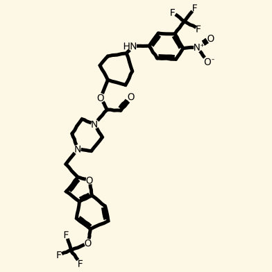 O=CC(OC1CCC(Nc2ccc([N+](=O)[O-])c(C(F)(F)F)c2)CC1)N1CCN(Cc2cc3cc(OC(F)(F)F)ccc3o2)CC1